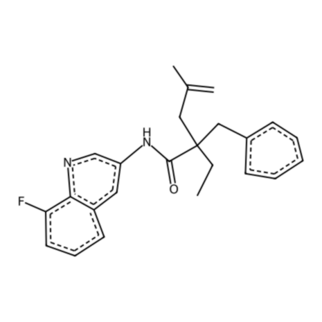 C=C(C)CC(CC)(Cc1ccccc1)C(=O)Nc1cnc2c(F)cccc2c1